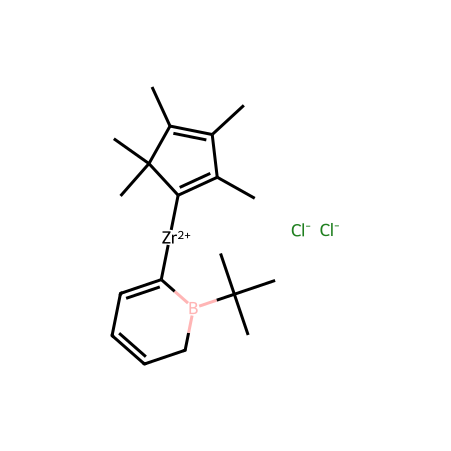 CC1=C(C)C(C)(C)[C]([Zr+2][C]2=CC=CCB2C(C)(C)C)=C1C.[Cl-].[Cl-]